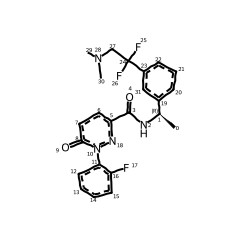 C[C@@H](NC(=O)c1ccc(=O)n(-c2ccccc2F)n1)c1cccc(C(F)(F)CN(C)C)c1